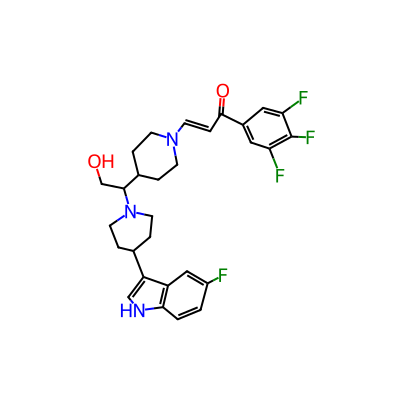 O=C(C=CN1CCC(C(CO)N2CCC(c3c[nH]c4ccc(F)cc34)CC2)CC1)c1cc(F)c(F)c(F)c1